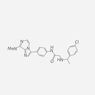 CNc1nccn2c(-c3ccc(NC(=O)CNC(C)c4ccc(Cl)cc4)cc3)cnc12